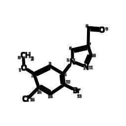 COc1cc(-n2cc(C=O)cn2)c(Br)cc1Cl